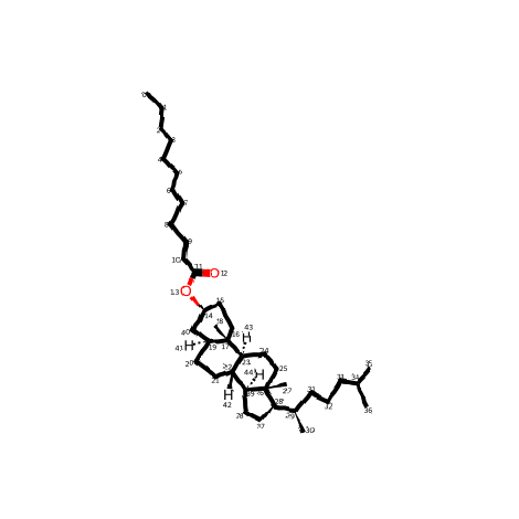 CCCCCCCCCCCC(=O)O[C@H]1CC[C@@]2(C)[C@@H](CC[C@@H]3[C@@H]2CC[C@]2(C)[C@@H]([C@H](C)CCCC(C)C)CC[C@@H]32)C1